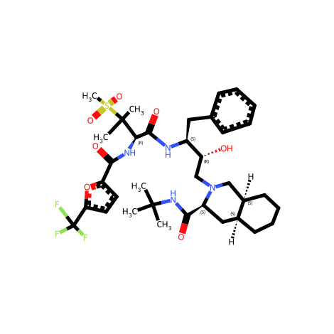 CC(C)(C)NC(=O)[C@@H]1C[C@@H]2CCCC[C@@H]2CN1C[C@@H](O)[C@H](Cc1ccccc1)NC(=O)[C@@H](NC(=O)c1ccc(C(F)(F)F)o1)C(C)(C)S(C)(=O)=O